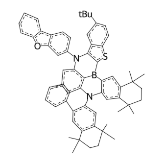 Cc1cc2c3c(c1)N(c1ccc4c(c1)oc1ccccc14)c1c(sc4ccc(C(C)(C)C)cc14)B3c1cc3c(cc1N2c1cc2c(cc1-c1ccccc1)C(C)(C)CCC2(C)C)C(C)(C)CCC3(C)C